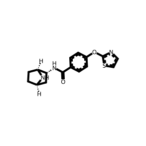 O=C(N[C@@H]1C[C@H]2CC[C@@H]1N2)c1ccc(Oc2nccs2)cc1